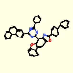 c1ccc(-c2ccc(-c3nc4c(-c5nc(-c6ccccc6)nc(-c6ccc7c(ccc8ccccc87)c6)n5)c5oc6ccccc6c5cc4o3)cc2)cc1